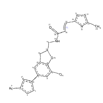 CC(=O)c1ccc(-c2cc(Cl)c3c(c2)CC(CNC(=O)/C=C/c2csc(C)n2)O3)s1